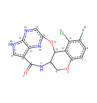 O=C1NC2COc3ccc(F)c(Cl)c3C2Oc2cnc3[nH]cc1c3n2